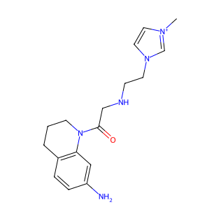 C[n+]1ccn(CCNCC(=O)N2CCCc3ccc(N)cc32)c1